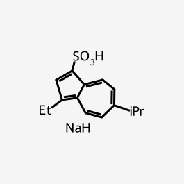 CCc1cc(S(=O)(=O)O)c2ccc(C(C)C)ccc1-2.[NaH]